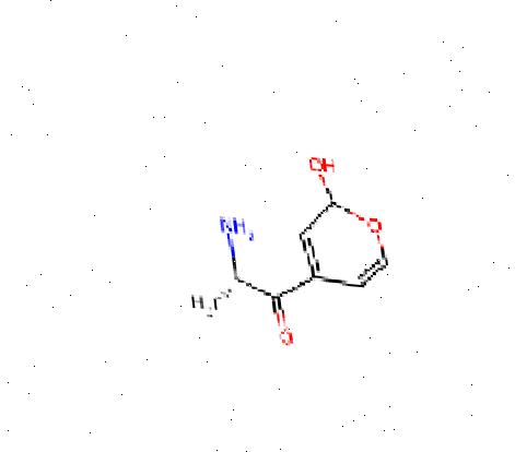 C[C@H](N)C(=O)C1=CC(O)OC=C1